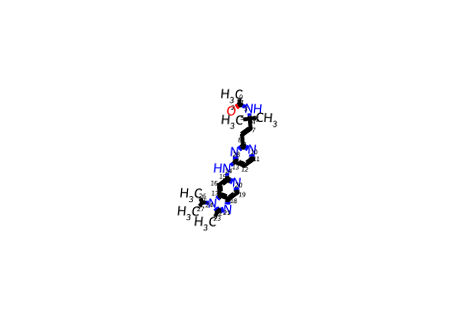 CC(=O)NC(C)(C)C=Cc1nccc(Nc2cc3c(cn2)nc(C)n3C(C)C)n1